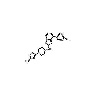 Cc1ncc(-c2cccn3nc(NC4CCN(c5nc(C)ns5)CC4)nc23)cn1